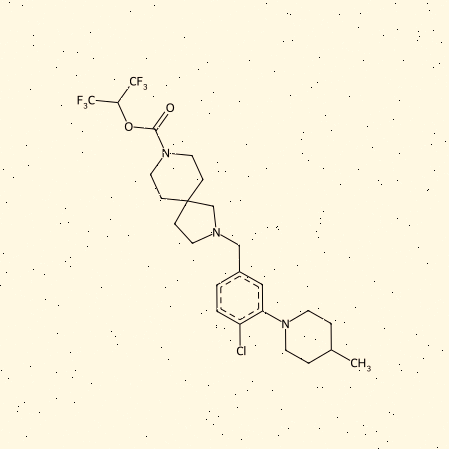 CC1CCN(c2cc(CN3CCC4(CCN(C(=O)OC(C(F)(F)F)C(F)(F)F)CC4)C3)ccc2Cl)CC1